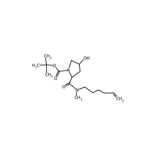 C=CCCCCN(C)C(=O)C1CC(O)CN1C(=O)OC(C)(C)C